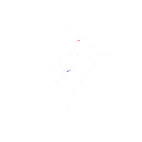 N#Cc1c2ccccc2cn1[C@H]1C(F)C(F)(C(=O)O)O[C@@H]([C@H](O)[C@H](O)CO)[C@@H]1NC(=O)C(F)(F)C(F)(F)F